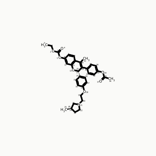 CCOC(=O)Oc1ccc2c(c1)O[C@@H](c1ccc(OCCN3CC[C@@H](C)C3)cc1)C(c1ccc(OC(C)=O)cc1)=C2C